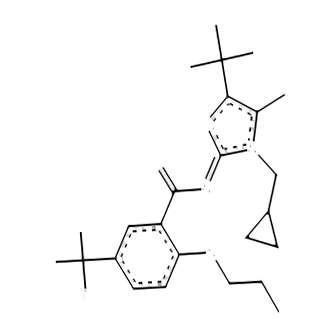 CCCNc1ccc(C(F)(F)F)cc1C(=O)/N=c1\sc(C(C)(C)C)c(C)n1CC1CC1